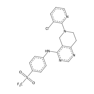 O=S(=O)(c1ccc(Nc2ncnc3c2CN(c2ncccc2Cl)CC3)cc1)C(F)(F)F